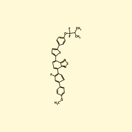 COc1ccc(-c2ccc(-c3ccc(-c4ccc(-c5ccc(OC(F)(F)C(C)C)cc5)s4)c4nsnc34)c(F)c2)cc1